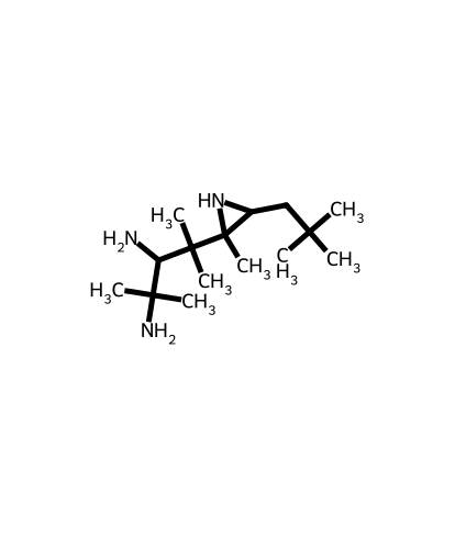 CC(C)(C)CC1NC1(C)C(C)(C)C(N)C(C)(C)N